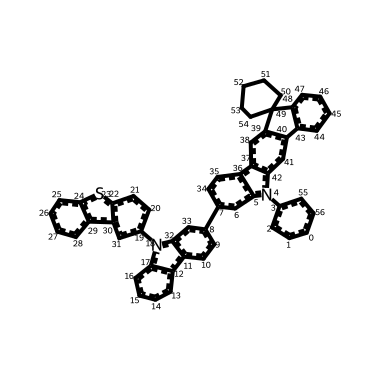 c1ccc(-n2c3cc(-c4ccc5c6ccccc6n(-c6ccc7sc8ccccc8c7c6)c5c4)ccc3c3cc4c(cc32)-c2ccccc2C42CCCCC2)cc1